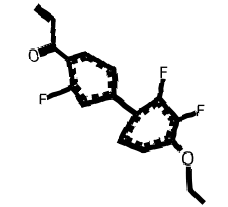 C=CC(=O)c1ccc(-c2ccc(OCC)c(F)c2F)cc1F